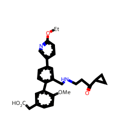 CCOc1ccc(-c2ccc(-c3cc(CC(=O)O)ccc3OC)c(CNCCC(=O)C3CC3)c2)cn1